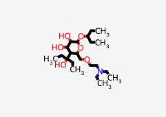 CCC(CC)OC1OC(COCCN(CC)CC)C(C(O)(CC)CC)C(O)C1O